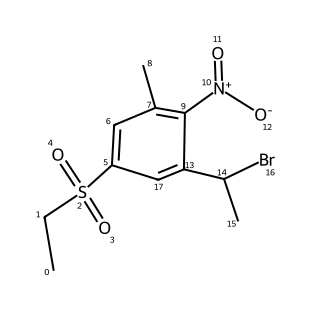 CCS(=O)(=O)c1cc(C)c([N+](=O)[O-])c(C(C)Br)c1